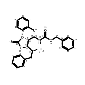 C[C@@H](Cc1ccccc1)[C@H]1OC(=S)O[C@@H]1[C@H](Cc1ccccc1)NC(=O)OCc1ccccc1